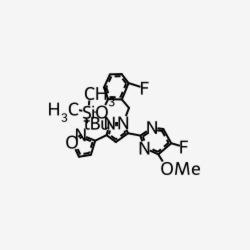 COc1nc(-c2cc(-c3ccon3)nn2Cc2c(F)cccc2O[Si](C)(C)C(C)(C)C)ncc1F